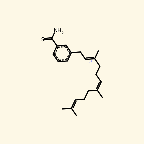 CC(C)=CCCC(C)=CCC/C(C)=C/Cc1cccc(C(N)=S)c1